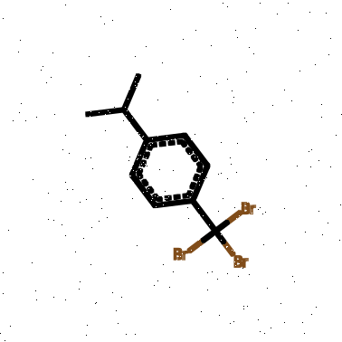 CC(C)c1ccc(C(Br)(Br)Br)cc1